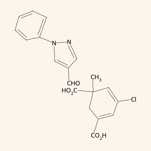 CC1(C(=O)O)C=C(Cl)C=C(C(=O)O)C1.O=Cc1cnn(-c2ccccc2)c1